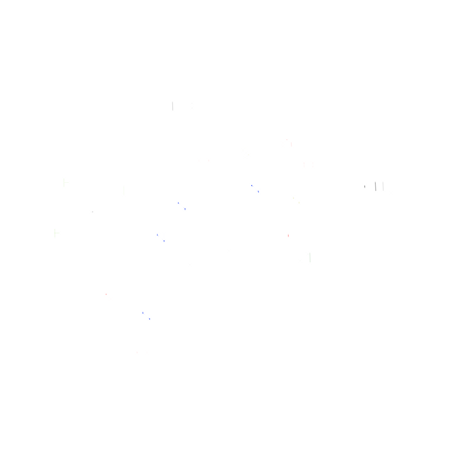 CCS(=O)(=O)N(c1nn(CC(F)(F)F)c2c([N+](=O)[O-])ccc(Cl)c12)S(=O)(=O)CC